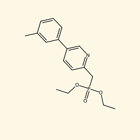 CCOP(=O)(Cc1ccc(-c2cccc(C)c2)cn1)OCC